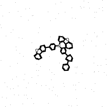 c1ccc(-c2cccc(-c3ccc(N(c4ccc(-c5ccc6oc7ccccc7c6c5)cc4)c4cccc5oc6ccccc6c45)cc3)c2)cc1